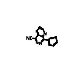 N#Cc1nnc(-c2ccccc2)c2nccnc12